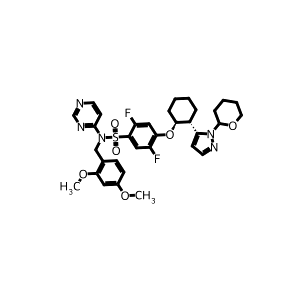 COc1ccc(CN(c2ccncn2)S(=O)(=O)c2cc(F)c(O[C@H]3CCCC[C@@H]3c3ccnn3C3CCCCO3)cc2F)c(OC)c1